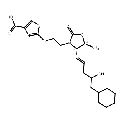 C[C@@H]1OC(=O)N(CCSc2nc(C(=O)O)cs2)[C@H]1C=CCC(O)CC1CCCCC1